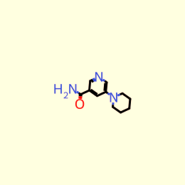 NC(=O)c1cncc(N2CCCCC2)c1